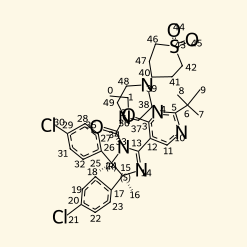 CCOc1nc(C(C)(C)C)ncc1C1=N[C@@](C)(c2ccc(Cl)cc2)[C@@](C)(c2ccc(Cl)cc2)N1C(=O)N1CCN(C2CCS(=O)(=O)CC2)CC1